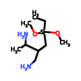 CC[Si](CC(CN)C(C)N)(OC)OC